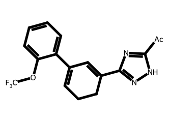 CC(=O)c1nc(C2=CC(c3ccccc3OC(F)(F)F)=CCC2)n[nH]1